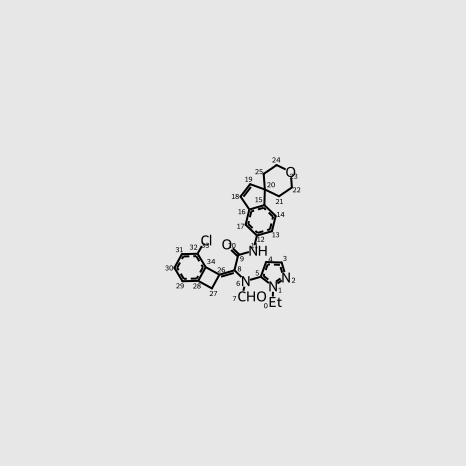 CCn1nccc1N(C=O)/C(C(=O)Nc1ccc2c(c1)C=CC21CCOCC1)=C1\Cc2cccc(Cl)c21